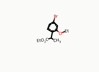 CCOC(=O)C(C)c1ccc(Br)cc1OCC